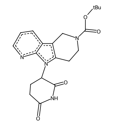 CC(C)(C)OC(=O)N1CCc2c(c3cccnc3n2C2CCC(=O)NC2=O)C1